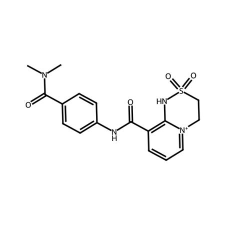 CN(C)C(=O)c1ccc(NC(=O)c2ccc[n+]3c2NS(=O)(=O)CC3)cc1